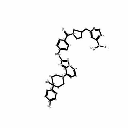 CN(C)c1cc(CC2CCN(C(=O)c3ccc(Nc4nc5c(N6CCC(O)(c7ccc(Cl)cc7)CC6)cccn5n4)cc3)C2)ncn1